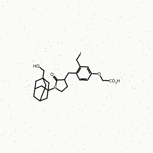 O=C(O)COc1ccc(CC2CCN(C34CC5CC(CC(CO)(C5)C3)C4)C2=O)c(CI)c1